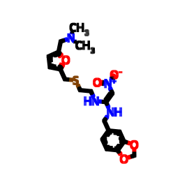 CN(C)Cc1ccc(CSCCN/C(=C\[N+](=O)[O-])NCc2ccc3c(c2)OCO3)o1